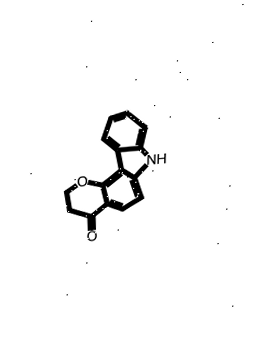 O=C1CCOc2c1ccc1[nH]c3ccccc3c21